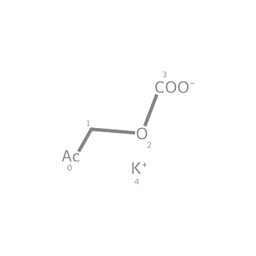 CC(=O)COC(=O)[O-].[K+]